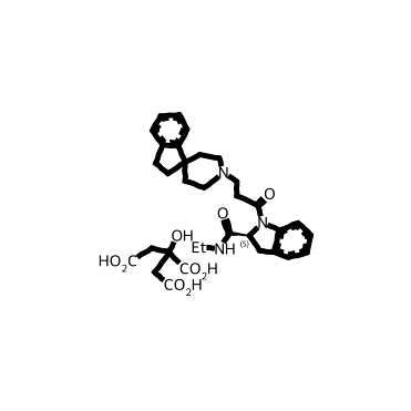 CCNC(=O)[C@@H]1Cc2ccccc2N1C(=O)CCN1CCC2(CCc3ccccc32)CC1.O=C(O)CC(O)(CC(=O)O)C(=O)O